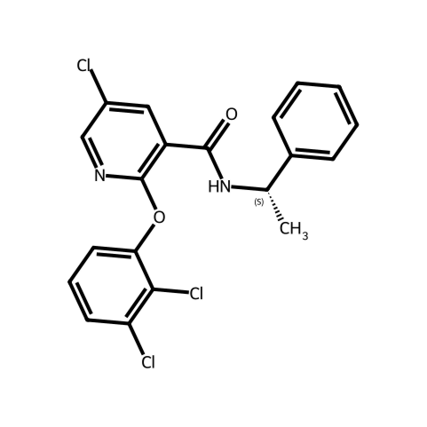 C[C@H](NC(=O)c1cc(Cl)cnc1Oc1cccc(Cl)c1Cl)c1ccccc1